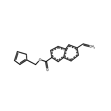 C=Cc1ccc2cc(C(=O)OCC3=CC=CC3)ccc2c1